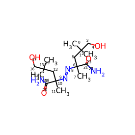 CC(C)(CO)CC(C)(N=NC(C)(CC(C)(C)CO)C(N)=O)C(N)=O